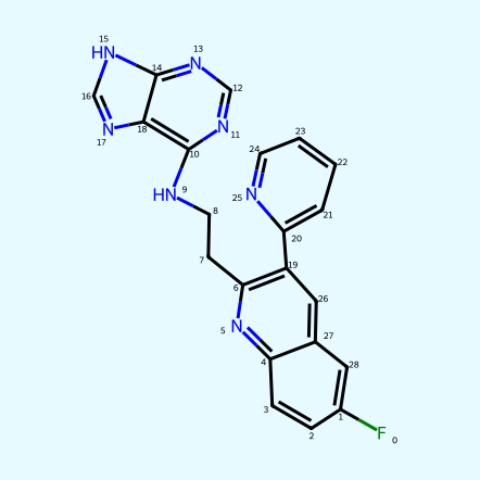 Fc1ccc2nc(CCNc3ncnc4[nH]cnc34)c(-c3ccccn3)cc2c1